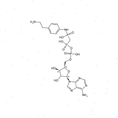 NCCc1ccc(NP(=O)(O)CP(=O)(O)OP(=O)(O)OC[C@H]2O[C@@H](n3cnc4c(N)ncnc43)C(O)[C@H]2O)cc1